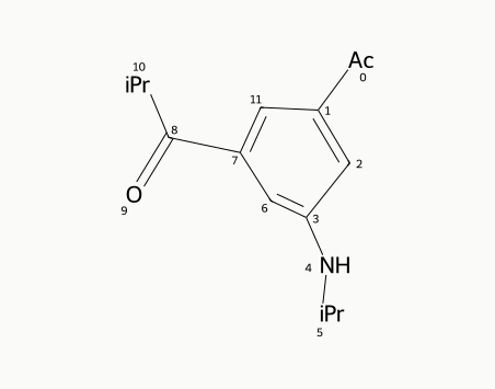 CC(=O)c1cc(NC(C)C)cc(C(=O)C(C)C)c1